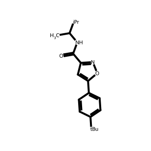 CC(C)C(C)NC(=O)c1cc(-c2ccc(C(C)(C)C)cc2)on1